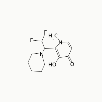 Cn1ccc(=O)c(O)c1C(C(F)F)N1CCCCC1